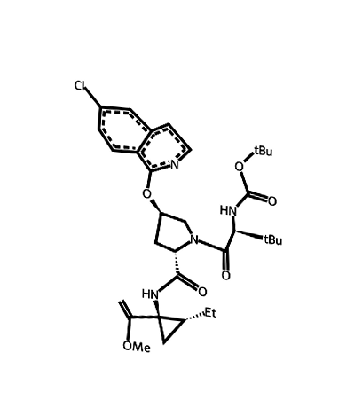 C=C(OC)[C@@]1(NC(=O)[C@@H]2C[C@@H](Oc3nccc4cc(Cl)ccc34)CN2C(=O)[C@@H](NC(=O)OC(C)(C)C)C(C)(C)C)C[C@H]1CC